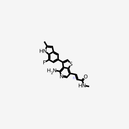 CNC(=O)/C=C/c1cnc(N)c2c(-c3cc(F)c4[nH]c(C)cc4c3)csc12